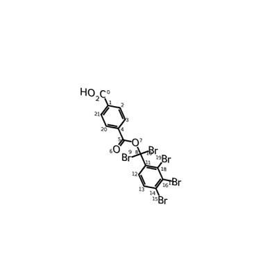 O=C(O)c1ccc(C(=O)OC(Br)(Br)c2ccc(Br)c(Br)c2Br)cc1